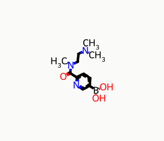 CN(C)CCN(C)C(=O)c1ccc(B(O)O)cn1